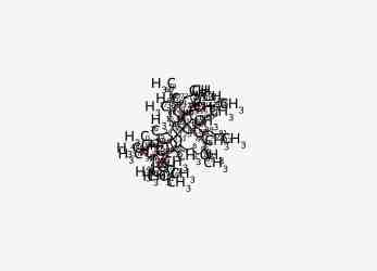 CCCCCCC(CCCC)CC(CC(CCC)CCCCC)(C(CCC)(CC(C)CCC(C)CCC(C)C)[C](CC(CCC)CCCCC)CC(C)(C)CC(C)CC(C)(C)C)C(CCCC(CCCC)CCCC)(CC(CCC)CCCCC)C(CCC(CCCC)CCCCC)(CC(CCC)CCCCC)C(C)CC(CCC)CCCCC